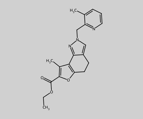 CCOC(=O)c1oc2c(c1C)-c1nn(Cc3ncccc3C)cc1CC2